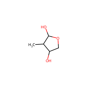 CC1C(O)COC1O